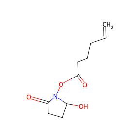 C=CCCCC(=O)ON1C(=O)CCC1O